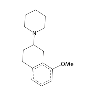 COc1cccc2c1CC(N1CCCCC1)CC2